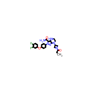 C=CC(=O)N1CC(N2CCNc3c2nn(-c2ccc(Oc4ccc(F)c(F)c4)cc2)c3C(N)=O)C1